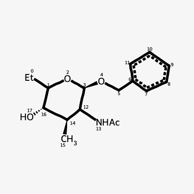 CCC1O[C@@H](OCc2ccccc2)C(NC(C)=O)[C@@H](C)[C@@H]1O